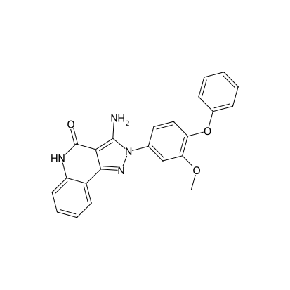 COc1cc(-n2nc3c(c2N)c(=O)[nH]c2ccccc23)ccc1Oc1ccccc1